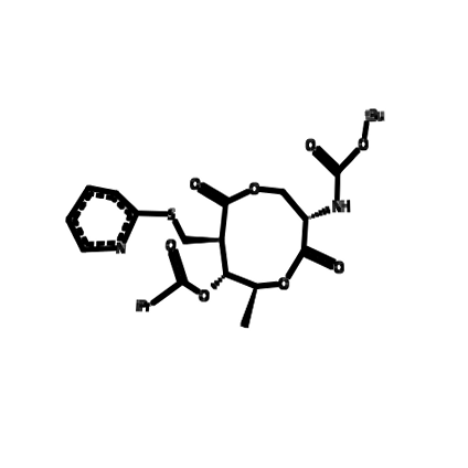 CC(C)C(=O)O[C@H]1[C@H](C)OC(=O)[C@@H](NC(=O)OC(C)(C)C)COC(=O)[C@@H]1CSc1ccccn1